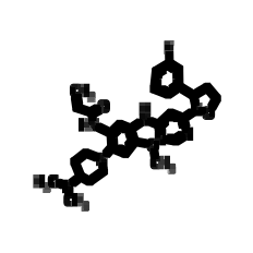 C=CC(=O)Nc1cc(Nc2cc(N3OCCC3c3cccc(F)c3)ncn2)c(OC)cc1N1CCC(N(C)C)CC1